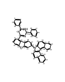 c1ccc(C2=NC(c3cccc4oc5cc(-n6c7ccc8ccccc8c7c7c8ccccc8ccc76)ccc5c34)=NC(c3ccccc3)N2)cc1